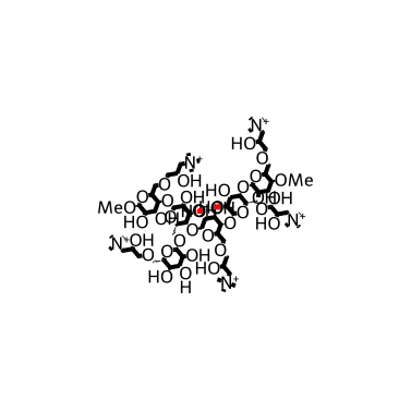 CO[C@@H]1OC(COCC(O)C[N+](C)(C)C)[C@@H](O[C@H]2O[C@@H](CO[C@H]3O[C@@H](COCC(O)C[N+](C)(C)C)[C@H](O)C(O)C3O)[C@@H](O[C@@H]3OC(COCC(O)C[N+](C)(C)C)[C@@H](O[C@H]4O[C@@H](COCC(O)C[N+](C)(C)C)[C@@H](O[C@@H]5OC(COCC(O)C[N+](C)(C)C)[C@@H](OC)[C@H](O)C5O)C(O)C4O)[C@H](O)C3O)C(O)C2O)[C@@H](O)C1O